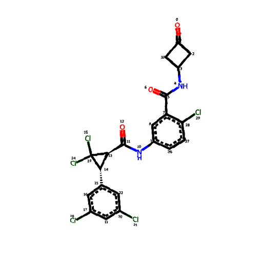 O=C1CC(NC(=O)c2cc(NC(=O)[C@H]3[C@H](c4cc(Cl)cc(Cl)c4)C3(Cl)Cl)ccc2Cl)C1